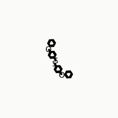 c1ccc(Oc2ccc(SSc3ccc(Oc4ccccc4)cc3)cc2)cc1